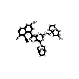 C#Cc1c(F)ccc2cc(O)cc(-c3noc4c(N5CC6CCC(C5)N6)nc(OC[C@@]56CCCN5CC(F)C6)nc34)c12